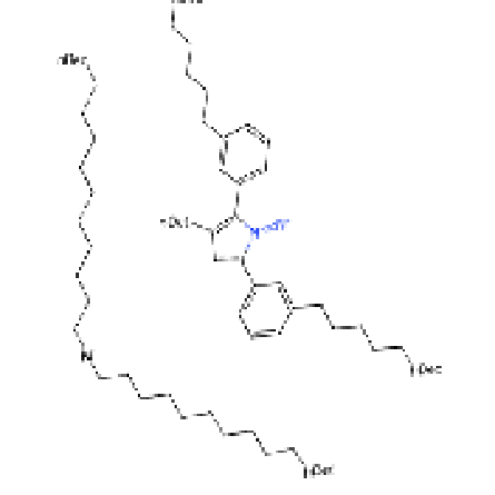 CCCCCCCCCCCCCCCCCCC[CH2][Ni][CH2]CCCCCCCCCCCCCCCCCCC.CCCCCCCCCCCCCCCc1cccc(C2=CC(CCCCCCCC)=C(c3cccc(CCCCCCCCCCCCCCC)c3)[N+]2=[N-])c1